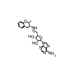 C[C@@H]1Oc2ccccc2C[C@H]1NOC[C@H]1O[C@@H](n2cnc3c(N)ncnc32)[C@H](O)[C@@H]1O